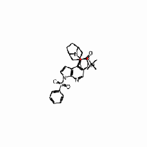 CC(C)(C)OC(=O)N1C2CCC1CC1(C2)C(=O)Nc2cnc3c(ccn3S(=O)(=O)c3ccccc3)c21